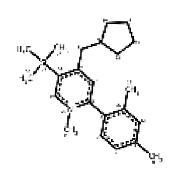 Cc1ccc(-c2cc(CC3CCCC3)c([Si](C)(C)C)c[n+]2C)c(C)c1